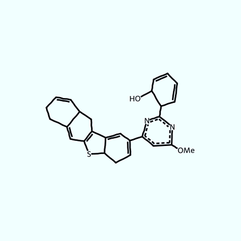 COc1cc(C2=CCC3SC4=C(CC5C=CCCC5=C4)C3=C2)nc(C2C=CC=CC2O)n1